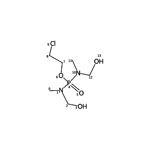 CN(CO)P(=O)(OCCCl)N(C)CO